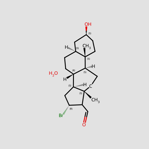 C[C@]12CC[C@H](O)C[C@@H]1CC[C@@H]1[C@@H]2CC[C@]2(C)C(C=O)[C@H](Br)C[C@@H]12.O